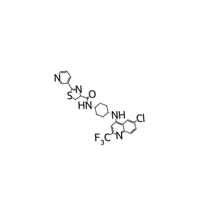 O=C(N[C@H]1CC[C@@H](Nc2cc(C(F)(F)F)nc3ccc(Cl)cc23)CC1)C1CSC(c2cccnc2)=N1